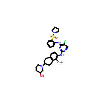 COc1c(Nc2ncc(Cl)c(Nc3ccccc3S(=O)(=O)N3CCCC3)n2)ccc2c1CCC(N1CCCC(O)C1)CC2